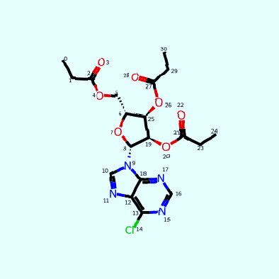 CCC(=O)OC[C@H]1O[C@@H](n2cnc3c(Cl)ncnc32)[C@H](OC(=O)CC)[C@@H]1OC(=O)CC